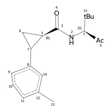 CC(=O)[C@@H](NC(=O)[C@@H]1CC1c1cccc(C)c1)C(C)(C)C